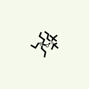 CC[CH2][Ti]([CH2]CC)([CH2]CC)[O][Ti]([CH2]CC)([C](C)(C)C)[C](C)(C)C